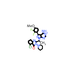 COc1ccc(-c2nn(C(C)c3nc4cccc(Cl)c4c(=O)n3N3CCCCC3)c3ncnc(N)c23)c(F)c1F